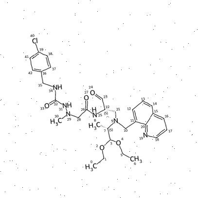 CCOC(OCC)[C@H](C)N(Cc1cccc2cccnc12)C[C@@H](C=O)NC(=O)CN(C)NC(=O)NCc1ccc(Cl)cc1